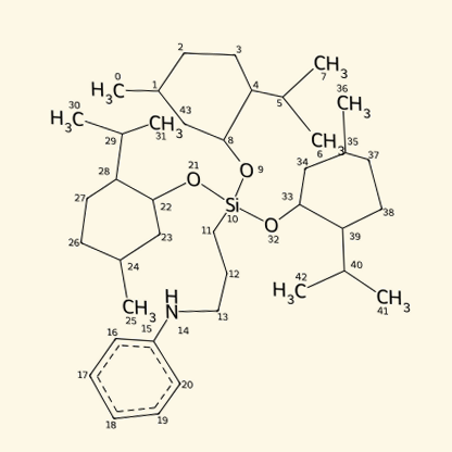 CC1CCC(C(C)C)C(O[Si](CCCNc2ccccc2)(OC2CC(C)CCC2C(C)C)OC2CC(C)CCC2C(C)C)C1